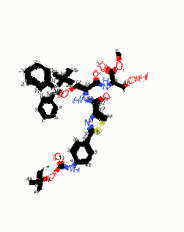 COC(=O)C(CO)NC(=O)C(CO[Si](c1ccccc1)(c1ccccc1)C(C)(C)C)NC(=O)c1csc(-c2ccc(NC(=O)OC(C)(C)C)cc2)n1